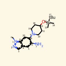 Cn1ncc2cc(N)c(N3CCC(O[Si](C)(C)C(C)(C)C)CC3)cc21